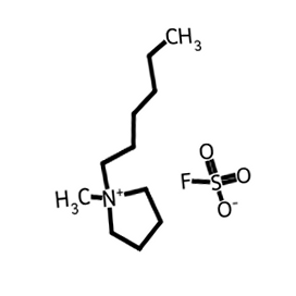 CCCCCC[N+]1(C)CCCC1.O=S(=O)([O-])F